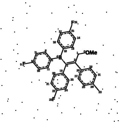 COC/C(=C(\B(c1ccc(F)cc1)c1ccc(F)cc1)c1ccc(F)cc1)c1ccc(C)cc1